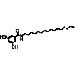 CCCCCCCCCCCCCCCCNC(=O)c1cc(O)cc(O)c1